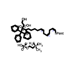 CCCCC/C=C\C/C=C\C/C=C\CCCCC(=O)[C@@](O)([C@@H](O)CO)C(c1ccccc1)(c1ccccc1)c1ccccc1.C[N+](C)(C)CCOP(=O)([O-])O